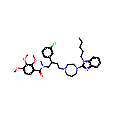 CCCCCn1c(N2CCCN(CCC(CN(C)C(=O)c3ccc(OC)c(OC)c3OC)c3cccc(Cl)c3)CC2)nc2ccccc21